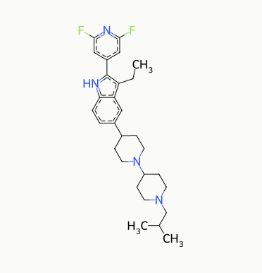 CCc1c(-c2cc(F)nc(F)c2)[nH]c2ccc(C3CCN(C4CCN(CC(C)C)CC4)CC3)cc12